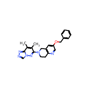 Cc1c(N2CCc3ncc(OCc4ccccc4)cc3C2)nn2cnnc2c1C